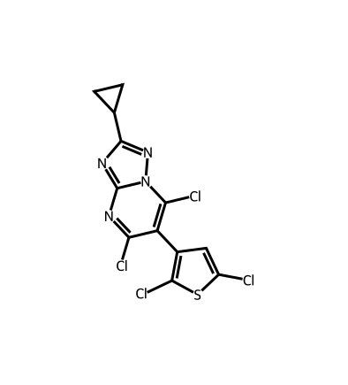 Clc1cc(-c2c(Cl)nc3nc(C4CC4)nn3c2Cl)c(Cl)s1